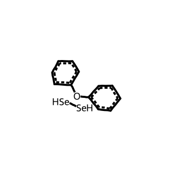 [SeH][SeH].c1ccc(Oc2ccccc2)cc1